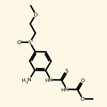 COCC[S+]([O-])c1ccc(NC(=S)NC(=O)OC)c(N)c1